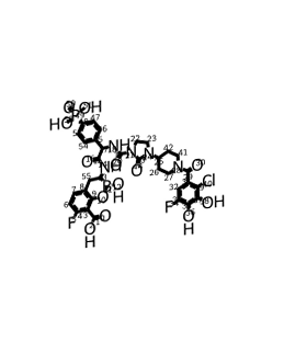 O=C(O)c1c(F)ccc2c1OB(O)C(NC(=O)C(NC(=O)N1CCN(C3CCN(C(=O)c4cc(F)c(O)c(O)c4Cl)CC3)C1=O)c1ccc(P(=O)(O)O)cc1)C2